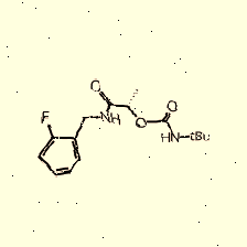 C[C@H](OC(=O)NC(C)(C)C)C(=O)NCc1ccccc1F